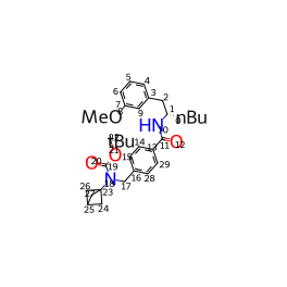 CCCC[C@@H](Cc1cccc(OC)c1)NC(=O)c1ccc(CN(C(=O)OC(C)(C)C)C23CC(C2)C3)cc1